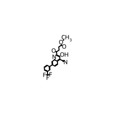 CCOC(=O)CCC(=O)c1nc2cc(-c3cccc(C(F)(F)F)c3)ccc2c(C#N)c1O